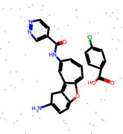 NC1=CC=c2oc3c(c2C1)C=C(NC(=O)c1ccnnc1)C=CC=3.O=C(O)c1ccc(Cl)cc1